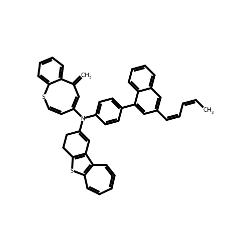 C=C1/C=C(N(C2=Cc3c(sc4c3C=C=CC=C4)CC2)c2ccc(-c3cc(/C=C\C=C/C)cc4ccccc34)cc2)\C=C/Sc2ccccc21